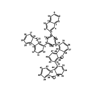 c1ccc2cc(-c3nc(-c4cccc5c4sc4ccccc45)nc(-c4cccc5oc6c(-c7cccc8oc9ccccc9c78)cccc6c45)n3)ccc2c1